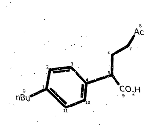 CCCCc1ccc(C(CCC(C)=O)C(=O)O)cc1